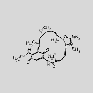 C=CCNC1=C2C[C@@H](C)C[C@H](OC)CC/C=C(\C)[C@H](OC(N)=O)C(OC)/C=C\C=C(/C)C(=O)NC(=CC1=O)C2=O